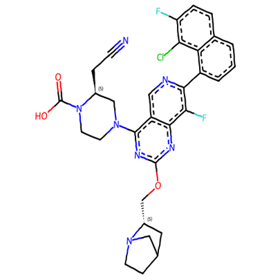 N#CC[C@H]1CN(c2nc(OC[C@@H]3CC4CCN3C4)nc3c(F)c(-c4cccc5ccc(F)c(Cl)c45)ncc23)CCN1C(=O)O